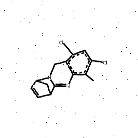 Cc1c(Cl)cc(Cl)c2c1N=C1C3C=CC(C3)N1C2